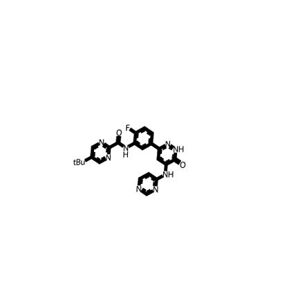 CC(C)(C)c1cnc(C(=O)Nc2cc(-c3cc(Nc4ccncn4)c(=O)[nH]n3)ccc2F)nc1